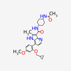 COc1ccc(-c2ccnc3c(C(=O)NC4CCC(NC(C)=O)CC4)c(C)[nH]c23)c(OCC2CC2)c1